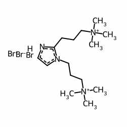 Br.C[N+](C)(C)CCCc1nccn1CCC[N+](C)(C)C.[Br-].[Br-]